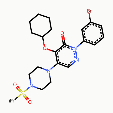 CC(C)S(=O)(=O)N1CCN(c2cnn(-c3cccc(Br)c3)c(=O)c2OC2CCCCC2)CC1